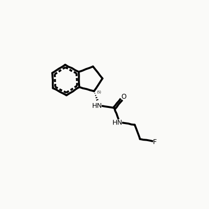 O=C(NCCF)N[C@H]1CCc2ccccc21